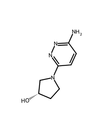 Nc1ccc(N2CC[C@H](O)C2)nn1